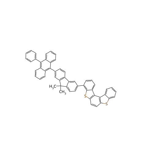 CC1(C)c2ccc(-c3cccc4c3sc3ccc5sc6ccccc6c5c34)cc2-c2ccc(-c3c4ccccc4c(-c4ccccc4)c4ccccc34)cc21